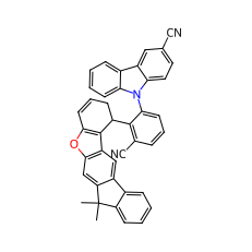 CC1(C)c2ccccc2-c2cc3c4c(oc3cc21)C=CCC4c1c(C#N)cccc1-n1c2ccccc2c2cc(C#N)ccc21